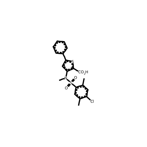 Cc1cc(S(=O)(=O)N(C)c2cc(-c3ccccc3)sc2C(=O)O)c(C)cc1Cl